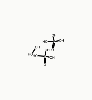 O=P(O)(O)O.O=P(O)(O)O.OO